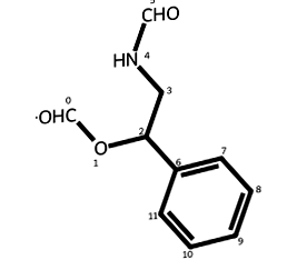 O=[C]OC(CNC=O)c1ccccc1